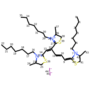 CCCCCCCN1C(=CC=CC(=CC2=[N+](CCCCCCC)C(C)CS2)C2=[N+](CCCCCCC)C(C)CS2)SCC1C.[I-].[I-]